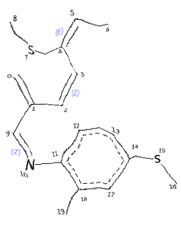 C=C(/C=C\C(=C/C)SC)/C=N\c1ccc(SC)cc1C